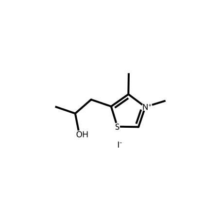 Cc1c(CC(C)O)sc[n+]1C.[I-]